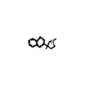 CN1CCC(C)(c2ccc3ccccc3c2)C1